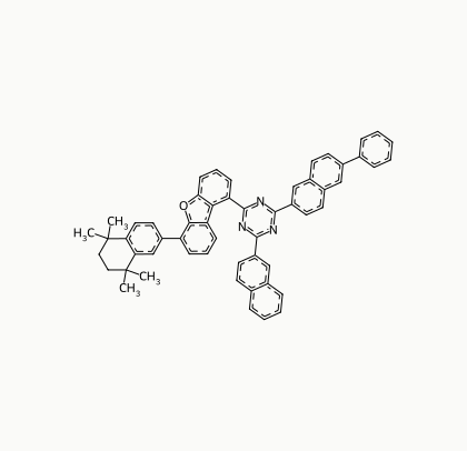 CC1(C)CCC(C)(C)c2cc(-c3cccc4c3oc3cccc(-c5nc(-c6ccc7ccccc7c6)nc(-c6ccc7cc(-c8ccccc8)ccc7c6)n5)c34)ccc21